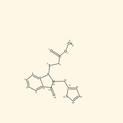 COC(=O)CSC1c2ccccc2C(=O)N1Cc1cccs1